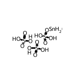 O=S(=O)(O)O.O=S(=O)(O)O.O=S(=O)(O)O.[SnH2]